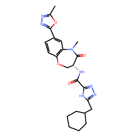 Cc1nnc(-c2ccc3c(c2)N(C)C(=O)[C@H](NC(=O)c2nnc(CC4CCCCC4)[nH]2)CO3)o1